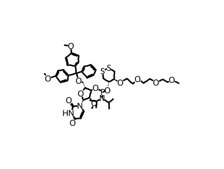 COCCOCCOCCO[C@@H]1CSSC[C@H]1OP(O[C@H]1[C@@H](OC)[C@H](n2ccc(=O)[nH]c2=O)O[C@@H]1COC(c1ccccc1)(c1ccc(OC)cc1)c1ccc(OC)cc1)N(C(C)C)C(C)C